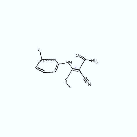 CS/C(Nc1cccc(F)c1)=C(\C#N)C(N)=O